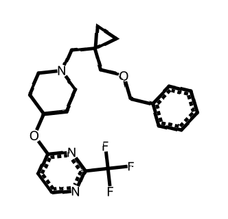 FC(F)(F)c1nccc(OC2CCN(CC3(COCc4ccccc4)CC3)CC2)n1